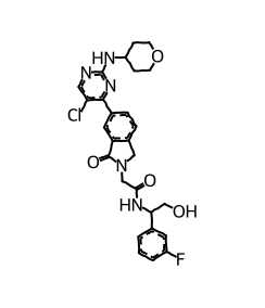 O=C(CN1Cc2ccc(-c3nc(NC4CCOCC4)ncc3Cl)cc2C1=O)NC(CO)c1cccc(F)c1